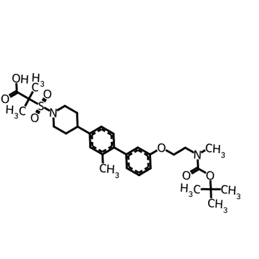 Cc1cc(C2CCN(S(=O)(=O)C(C)(C)C(=O)O)CC2)ccc1-c1cccc(OCCN(C)C(=O)OC(C)(C)C)c1